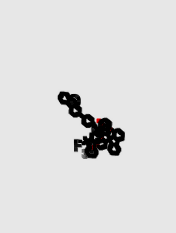 Cc1ccc2c(c1)-c1cc(C(F)(F)F)ccc1C21c2ccccc2-c2cccc(-c3cccc(N(c4ccc(-c5ccc6c(c5)oc5ccccc56)cc4)c4ccc5c(c4)C(C)(C)c4ccccc4-5)c3)c21